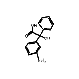 Nc1cccc(C(O)(C(=O)O)c2ccccc2)c1